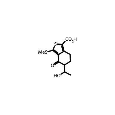 CSc1sc(C(=O)O)c2c1C(=O)C(C(C)O)CC2